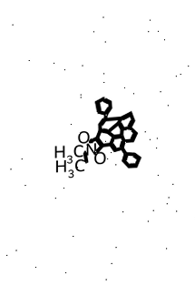 CCC(C)n1c(=O)c2c3cc(-c4ccccc4)c4ccc5ccc6c(-c7ccccc7)cc(c2c1=O)c1c6c5c4c31